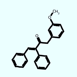 COc1cccc(CC(=O)C(=Cc2ccccc2)c2ccccc2)c1